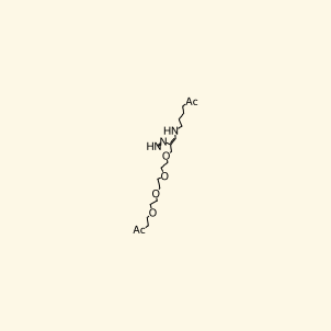 CC(=O)CCCCN/C=C(/COCCOCCOCCOCCC(C)=O)N=N